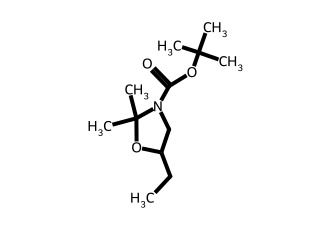 CCC1CN(C(=O)OC(C)(C)C)C(C)(C)O1